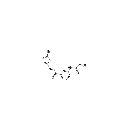 O=C(CO)Nc1cccc(C(=O)C=Cc2ccc(Br)s2)c1